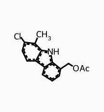 CC(=O)OCc1cccc2c1[nH]c1c(C)c(Cl)ccc12